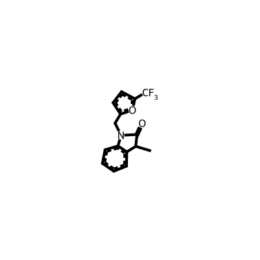 CC1C(=O)N(Cc2ccc(C(F)(F)F)o2)c2ccccc21